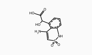 NC1=CS(=O)(=O)Nc2cccc(C(O)C(=O)O)c21